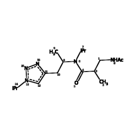 CC(=O)NCC(C)C(=O)N(C(C)C)C(C)Cc1cn(C(C)C)nn1